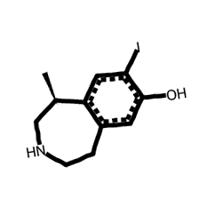 C[C@@H]1CNCCc2cc(O)c(I)cc21